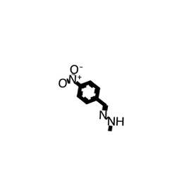 CN/N=C/c1ccc([N+](=O)[O-])cc1